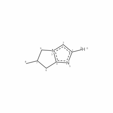 [2H]c1cn2c(n1)CC(C)C2